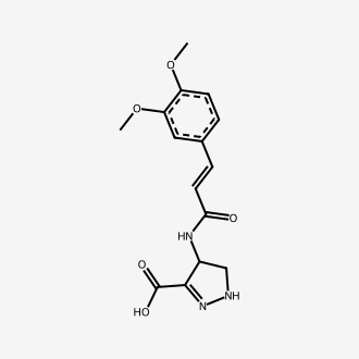 COc1ccc(/C=C/C(=O)NC2CNN=C2C(=O)O)cc1OC